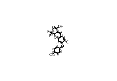 O=C(O)C1=Cc2cc(Cl)c(Oc3ccc(Cl)cn3)cc2OC1C(F)(F)F